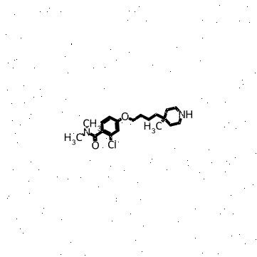 CN(C)C(=O)c1ccc(OCCCCC2(C)CCNCC2)cc1Cl